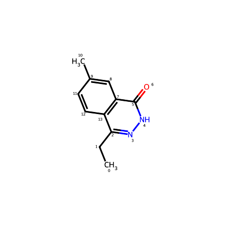 CCc1n[nH]c(=O)c2cc(C)ccc12